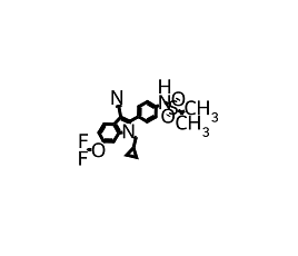 CC(C)S(=O)(=O)Nc1ccc(-c2c(C#N)c3ccc(OC(F)F)cc3n2CC2CC2)cc1